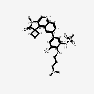 CN(C)CCCOc1c(C#N)cc(-c2ccc3ncc4c(c3c2)C2(CCC2)C(=O)N4C)cc1NS(C)(=O)=O